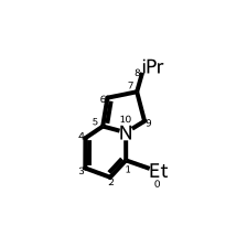 CCC1=CC=CC2=CC(C(C)C)CN21